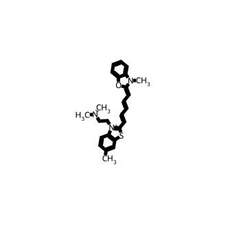 Cc1ccc2c(c1)sc(/C=C/C=C/C=C1\Oc3ccccc3N1C)[n+]2CCN(C)C